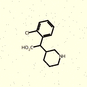 O=C(O)C(c1ccccc1Cl)C1CCCNC1